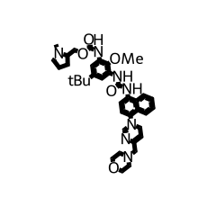 COc1c(NC(=O)Nc2ccc(N3C=NC(CN4CCOCC4)=CC3)c3ccccc23)cc(C(C)(C)C)cc1NC(=O)OCC1CCCN1C